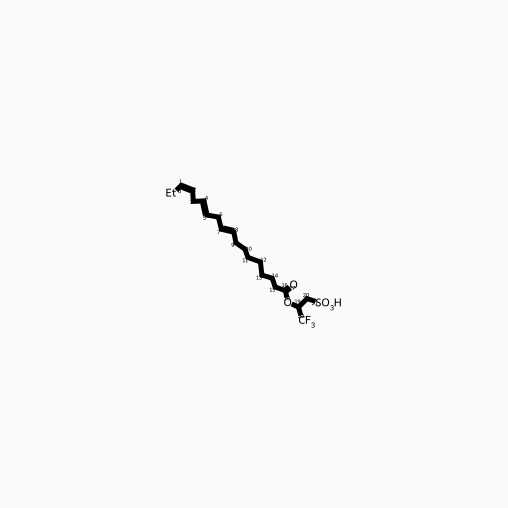 CC/C=C\C/C=C/C/C=C/CCCCCCCC(=O)OC(CS(=O)(=O)O)C(F)(F)F